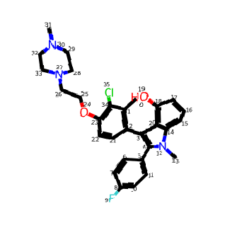 Cc1c(-c2c(-c3ccc(F)cc3)n(C)c3cccc(O)c23)ccc(OCCN2CCN(C)CC2)c1Cl